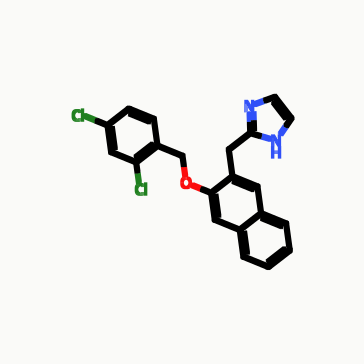 Clc1ccc(COc2cc3ccccc3cc2Cc2ncc[nH]2)c(Cl)c1